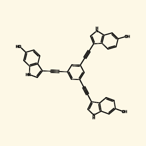 Oc1ccc2c(C#Cc3cc(C#Cc4c[nH]c5cc(O)ccc45)cc(C#Cc4c[nH]c5cc(O)ccc45)c3)c[nH]c2c1